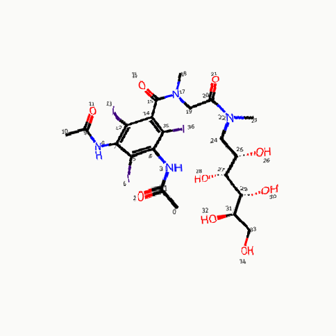 CC(=O)Nc1c(I)c(NC(C)=O)c(I)c(C(=O)N(C)CC(=O)N(C)C[C@H](O)[C@@H](O)[C@H](O)[C@H](O)CO)c1I